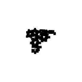 CC1=Cc2ccccc2C1C(c1cccc(CN)c1)c1cccc(CN)c1